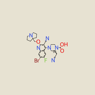 N#CC[C@H]1CN(c2c(C#N)c(OCC34CCCN3CCC4)nc3cc(Br)c(F)cc23)CCN1C(=O)O